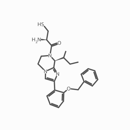 CCC(C)[C@H]1c2nc(-c3ccccc3OCc3ccccc3)cn2CCN1C(=O)[C@@H](N)CS